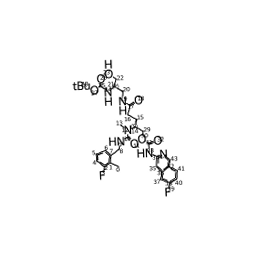 Cc1c(F)cccc1CNC(=O)N(C)[C@@H](CCC(=O)NC[C@H](CO)NC(=O)OC(C)(C)C)COC(=O)Nc1cc2cc(F)ccc2cn1